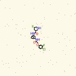 O=C(COc1ccc(Cl)c(F)c1)NC1CC(NC(=O)C2CNCC(F)C2)C2CC1C2